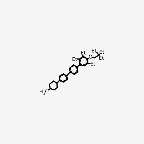 CCc1cc(-c2ccc(-c3ccc(C4CCC(C)CC4)cc3)cc2)c(CC)c(CC)c1OCC(CC)(CC)CC